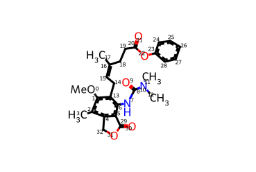 COc1c(C)c2c(c(NC(=O)N(C)C)c1CC=C(C)CCC(=O)Oc1ccccc1)C(=O)OC2